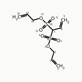 C=CCOS(=O)(=O)C(C=C)S(=O)(=O)OCC=C